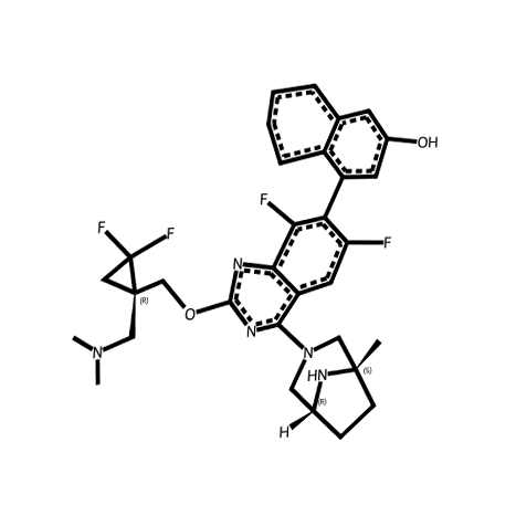 CN(C)C[C@@]1(COc2nc(N3C[C@H]4CC[C@@](C)(C3)N4)c3cc(F)c(-c4cc(O)cc5ccccc45)c(F)c3n2)CC1(F)F